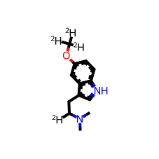 [2H]C(Cc1c[nH]c2ccc(OC([2H])([2H])[2H])cc12)N(C)C